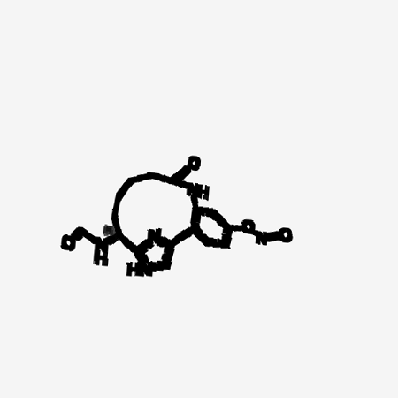 O=CN[C@H]1CCCCC(=O)Nc2cc(ON=O)ccc2-c2c[nH]c1n2